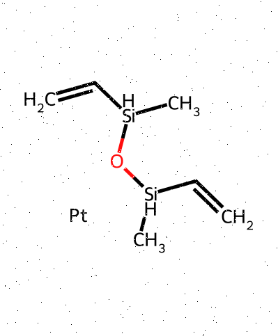 C=C[SiH](C)O[SiH](C)C=C.[Pt]